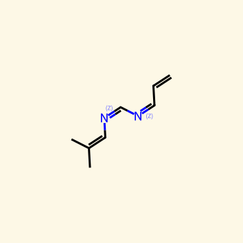 C=C/C=N\C=N/C=C(C)C